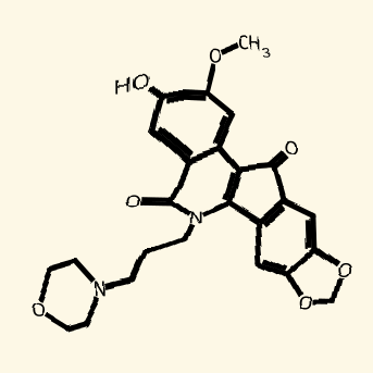 COc1cc2c3c(n(CCCN4CCOCC4)c(=O)c2cc1O)-c1cc2c(cc1C3=O)OCO2